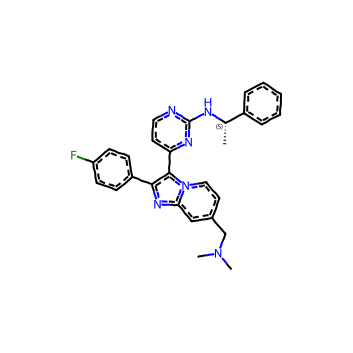 C[C@H](Nc1nccc(-c2c(-c3ccc(F)cc3)nc3cc(CN(C)C)ccn23)n1)c1ccccc1